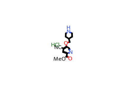 COC(=O)c1cc(C#N)c(OCC2CCNCC2)cn1.Cl